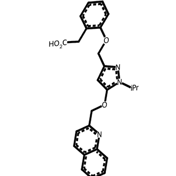 CC(C)n1nc(COc2ccccc2CC(=O)O)cc1OCc1ccc2ccccc2n1